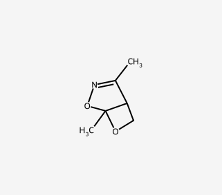 CC1=NOC2(C)OCC12